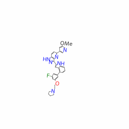 COc1cncc(-c2ccc3[nH]nc(-c4cc5c(-c6cc(F)cc(OCCN7CCCC7)c6)cccc5[nH]4)c3n2)c1